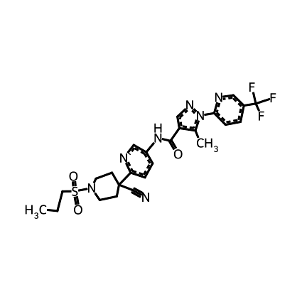 CCCS(=O)(=O)N1CCC(C#N)(c2ccc(NC(=O)c3cnn(-c4ccc(C(F)(F)F)cn4)c3C)cn2)CC1